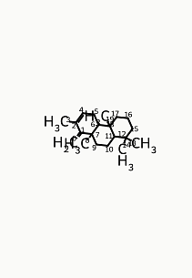 C=C1C(C)=CCC2C1(C)CCC1C(C)(C)CCCC12C